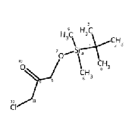 CC(C)(C)[Si](C)(C)OCC(=O)CCl